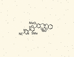 COc1cc(CN(Cc2ccccc2)C(=O)OC(C)(C)C)ccc1C(=O)C=C(Nc1cnc(C#N)cn1)SC